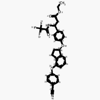 CCOC(=O)CC(NC(=O)C(F)(F)F)c1ccc(O[C@@H]2CCc3c(Oc4ccc(C#N)cc4)cccc32)cc1